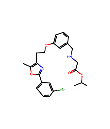 Cc1oc(-c2cccc(Br)c2)nc1CCOc1[c]c(CNCC(=O)OC(C)C)ccc1